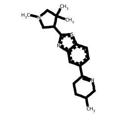 CC1CCC(c2ccc3sc(C4CN(C)CC4(C)C)nc3c2)=NC1